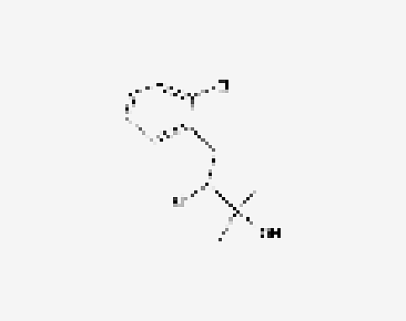 CC(C)(O)C(Cl)Cc1ccccc1Cl